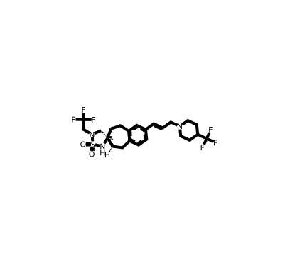 O=S1(=O)N[C@@]2(CN1CC(F)(F)F)C1CC[C@H]2Cc2ccc(/C=C/CN3CCC(C(F)(F)F)CC3)cc2C1